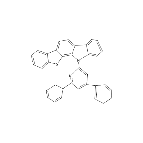 C1=CCC(c2cc(C3=CCCC=C3)cc(-n3c4ccccc4c4ccc5c6ccccc6sc5c43)n2)C=C1